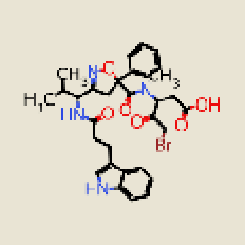 CC(C)[C@H](NC(=O)CCc1c[nH]c2ccccc12)C1=NOC(C(=O)N(C)[C@@H](CC(=O)O)C(=O)CBr)(c2ccccc2)C1